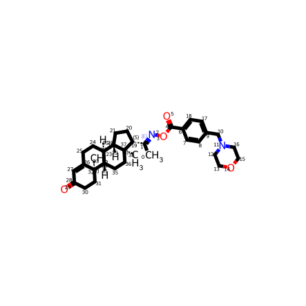 C/C(=N\OC(=O)c1ccc(CN2CCOCC2)cc1)[C@H]1CC[C@H]2[C@@H]3CCC4=CC(=O)CC[C@]4(C)[C@H]3CC[C@]12C